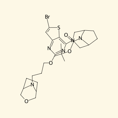 CC(C)(C)OC(=O)N1C2CCC1CN(c1nc(OCCCN3C4CCC3COC4)nc3cc(Br)sc13)C2